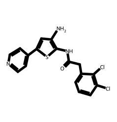 Nc1cc(-c2ccncc2)sc1NC(=O)Cc1cccc(Cl)c1Cl